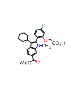 COC(=O)c1ccc2c(C3CCCCC3)c(-c3ccc(F)cc3OCC(=O)O)n(C)c2c1